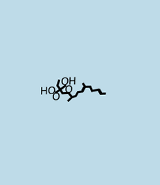 CC=CCCC(C)=CCCC(C)CCC(CC)(C(=O)O)C(=O)O